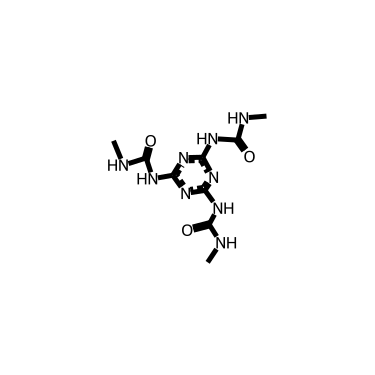 CNC(=O)Nc1nc(NC(=O)NC)nc(NC(=O)NC)n1